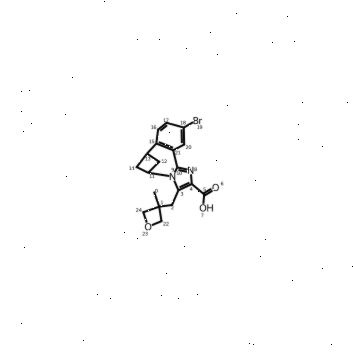 CC1(Cc2c(C(=O)O)nc3n2C2CC(C2)c2ccc(Br)cc2-3)COC1